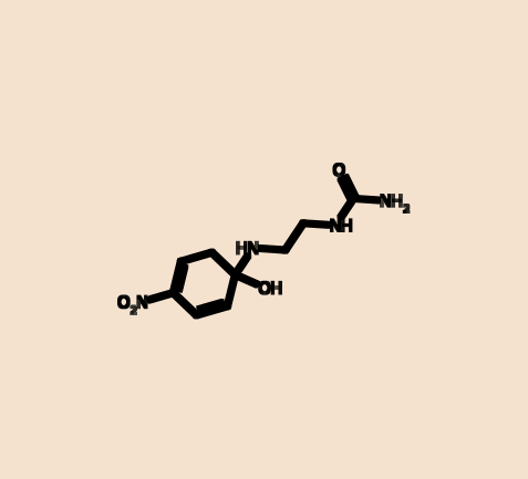 NC(=O)NCCNC1(O)C=CC([N+](=O)[O-])=CC1